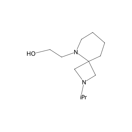 CC(C)N1CC2(CCCCN2CCO)C1